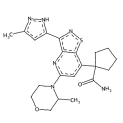 Cc1cc(-c2nsc3c(C4(C(N)=O)CCCC4)cc(N4CCOCC4C)nc23)[nH]n1